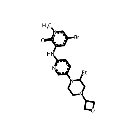 CCC1CN(C2COC2)CCN1c1ccc(Nc2cc(Br)cn(C)c2=O)nc1